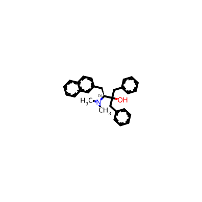 CN(C)[C@@H](Cc1ccc2ccccc2c1)C(O)(Cc1ccccc1)Cc1ccccc1